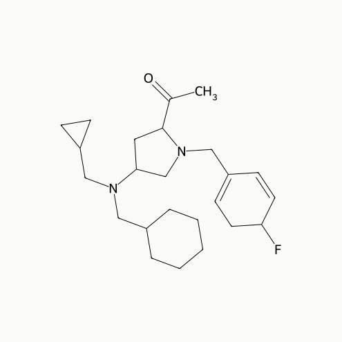 CC(=O)C1CC(N(CC2CCCCC2)CC2CC2)CN1CC1=CCC(F)C=C1